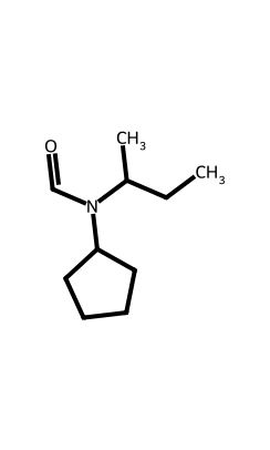 CCC(C)N(C=O)C1CCCC1